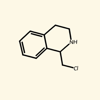 ClCC1NCCc2ccccc21